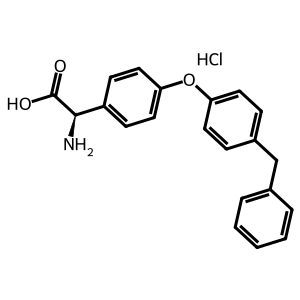 Cl.N[C@@H](C(=O)O)c1ccc(Oc2ccc(Cc3ccccc3)cc2)cc1